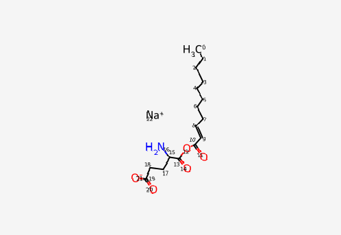 CCCCCCCCC=CC(=O)OC(=O)C(N)CCC(=O)[O-].[Na+]